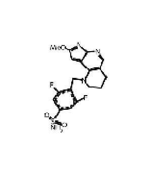 COC1=NC2N=CC3=C(C2=C1)N(Cc1c(F)cc(S(N)(=O)=O)cc1F)CCC3